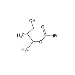 CC(C)C(=O)OC(C)C(C)CO